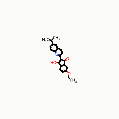 CCOc1ccc2c(c1)C(=O)C(c1ccc3cc(C(C)C)ccc3n1)=C2O